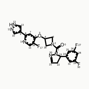 O=C(N1CC(Oc2cc(-c3cn[nH]c3)ncc2F)C1)N1N=CCC1c1cc(F)cc(F)c1